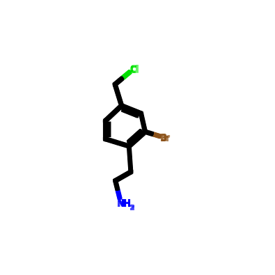 NCCc1ccc(CCl)cc1Br